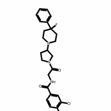 O=C(NCC(=O)N1CCC(N2CCC(F)(c3ccccc3)CC2)C1)c1ccc(Cl)c(Cl)c1